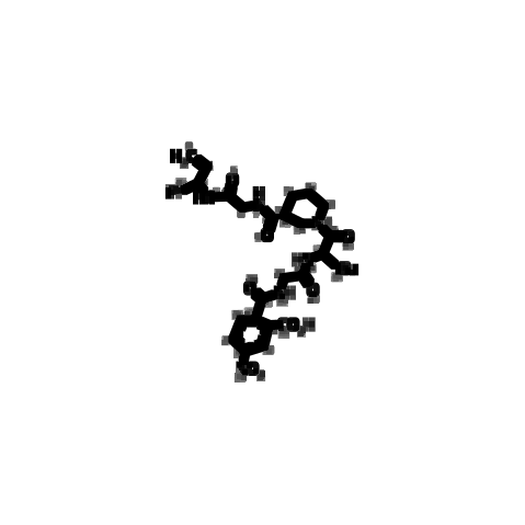 C=CC(NC(=O)CNC(=O)[C@@H]1CCCN(C(=O)C(NC(=O)CNC(=O)c2ccc([N+](=O)[O-])cc2C(=O)O)C(C)(C)C)C1)C(C)C